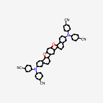 N#Cc1ccc(N(c2ccc(C#N)cc2)c2ccc3c(ccc4c5cc6c(cc5oc34)oc3c4ccc(N(c5ccc(C#N)cc5)c5ccc(C#N)cc5)cc4ccc63)c2)cc1